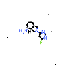 N[C@@H]1CCCC2CN(c3cc(F)ncn3)C[C@H]21